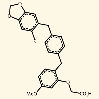 COc1ccc(Cc2c[c]c(Cc3cc4c(cc3Cl)OCO4)cc2)c(OCC(=O)O)c1